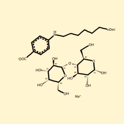 CCCCCCCCCCCCCCCCNc1ccc(C(=O)[O-])cc1.OC[C@H]1O[C@@H](O[C@H]2[C@H](O)[C@@H](O)[C@@H](O)O[C@@H]2CO)[C@H](O)[C@@H](O)[C@H]1O.[Na+]